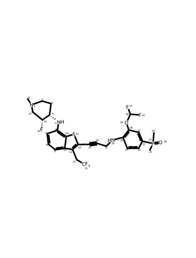 CN1CC[C@H](Nc2cccc3c(CC(F)(F)F)c(C#CCNc4ccc(P(C)(C)=O)cc4OC(F)F)sc23)[C@H](F)C1